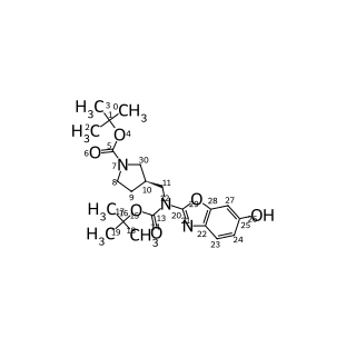 CC(C)(C)OC(=O)N1CC[C@H](CN(C(=O)OC(C)(C)C)c2nc3ccc(O)cc3o2)C1